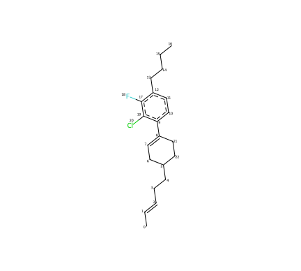 C/C=C/CCC1CC=C(c2ccc(CCCC)c(F)c2Cl)CC1